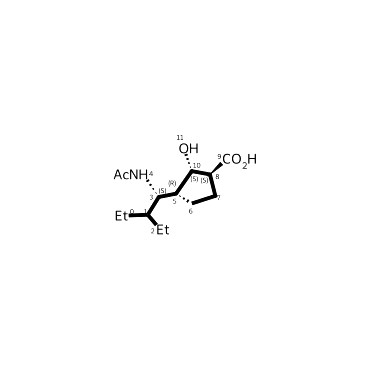 CCC(CC)[C@H](NC(C)=O)[C@H]1CC[C@H](C(=O)O)[C@H]1O